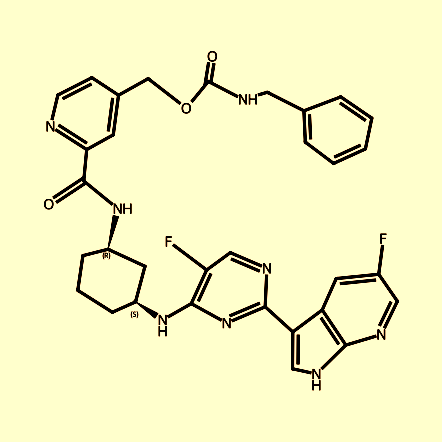 O=C(NCc1ccccc1)OCc1ccnc(C(=O)N[C@@H]2CCC[C@H](Nc3nc(-c4c[nH]c5ncc(F)cc45)ncc3F)C2)c1